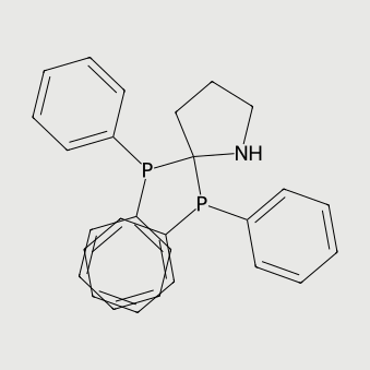 c1ccc(P(c2ccccc2)C2(P(c3ccccc3)c3ccccc3)CCCN2)cc1